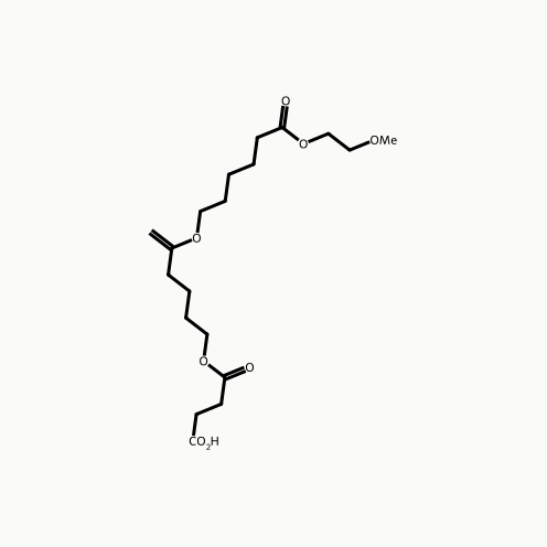 C=C(CCCCOC(=O)CCC(=O)O)OCCCCCC(=O)OCCOC